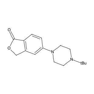 CC(C)(C)N1CCN(c2ccc3c(c2)COC3=O)CC1